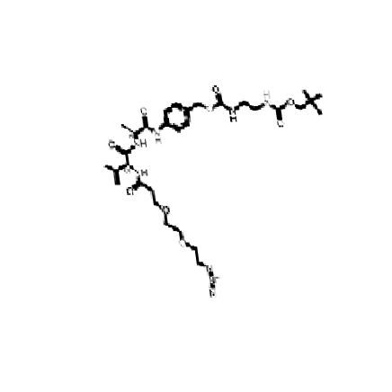 CC(C)[C@H](NC(=O)CCOCCOCCN=[N+]=[N-])C(=O)N[C@@H](C)C(=O)Nc1ccc(COC(=O)NCCNC(=O)OCC(C)(C)C)cc1